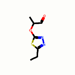 CCc1nnc(OC(C)C=O)s1